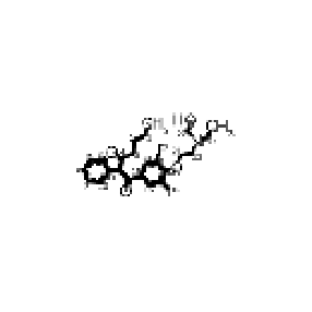 CCCCc1oc2ccccc2c1C(=O)c1cc(I)c(OCCN(CC)CO)c(I)c1